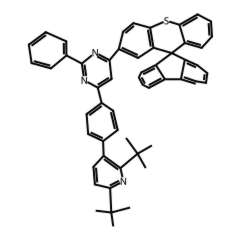 CC(C)(C)c1ccc(-c2ccc(-c3cc(-c4ccc5c(c4)C4(c6ccccc6S5)c5ccccc5-c5ccccc54)nc(-c4ccccc4)n3)cc2)c(C(C)(C)C)n1